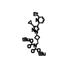 CCc1cccc(-c2cn(C3CC(CN(C(=O)OC(C)(C)C)C(=O)OC(C)(C)C)C3)nc2C2CC2)n1